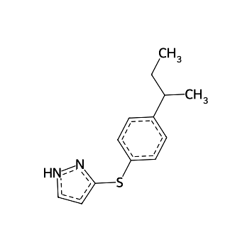 CCC(C)c1ccc(Sc2cc[nH]n2)cc1